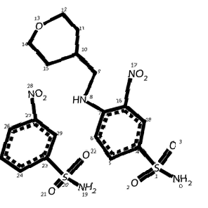 NS(=O)(=O)c1ccc(NCC2CCOCC2)c([N+](=O)[O-])c1.NS(=O)(=O)c1cccc([N+](=O)[O-])c1